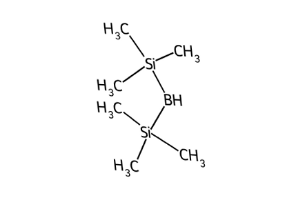 C[Si](C)(C)B[Si](C)(C)C